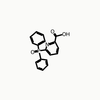 O=C(O)c1cccc(P(=O)(c2ccccc2)c2ccccc2)n1